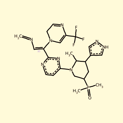 C=N/C=C(/c1nccc(N2CC(P(C)(C)=O)CC(c3cn[nH]c3)C2C)n1)N1C=C(C(F)(F)F)N=CC1